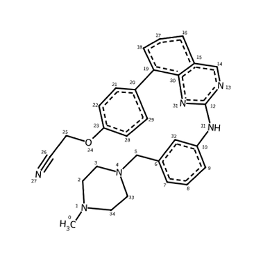 CN1CCN(Cc2cccc(Nc3ncc4cccc(-c5ccc(OCC#N)cc5)c4n3)c2)CC1